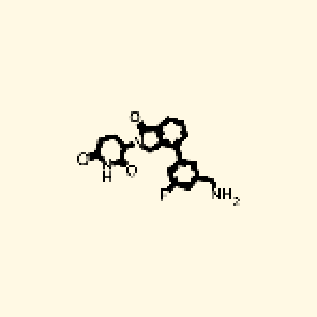 NCc1cc(F)cc(-c2cccc3c2CN(C2CCC(=O)NC2=O)C3=O)c1